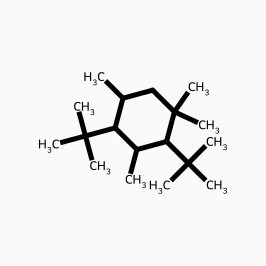 CC1CC(C)(C)C(C(C)(C)C)C(C)C1C(C)(C)C